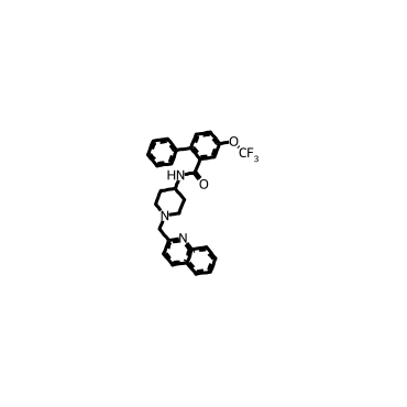 O=C(NC1CCN(Cc2ccc3ccccc3n2)CC1)c1cc(OC(F)(F)F)ccc1-c1ccccc1